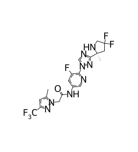 Cc1cc(C(F)(F)F)nn1CC(=O)Nc1cnc(-n2cnc([C@]3(C)CC(F)(F)CN3)n2)c(F)c1